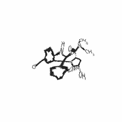 COc1ccccc1C1(N2C[C@@H](O)C[C@H]2C(=O)N(C)C)C(=O)Nc2ccc(Cl)cc21